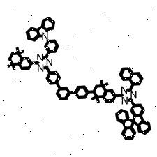 CC1(C)CCC(C)(C)c2cc(-c3nc(-c4ccc(-c5cccc(-c6ccc(C7CC(C)(C)c8cc(-c9nc(-c%10ccc%11c(c%10)C%10(c%12ccccc%12-c%12ccccc%12%10)c%10ccccc%10-%11)nc(-c%10cccc%11ccccc%10%11)n9)ccc8C7(C)C)cc6)c5)cc4)nc(-c4cccc(-n5c6ccccc6c6ccccc65)c4)n3)ccc21